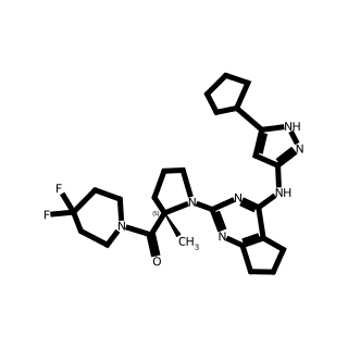 C[C@@]1(C(=O)N2CCC(F)(F)CC2)CCCN1c1nc2c(c(Nc3cc(C4CCCC4)[nH]n3)n1)CCC2